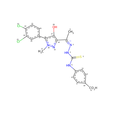 C/C(=N/NC(=S)Nc1ccc(C(=O)O)cc1)c1nn(C)c(-c2ccc(Cl)c(Cl)c2)c1O